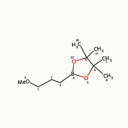 COCCCB1OC(C)(C)C(C)(C)O1